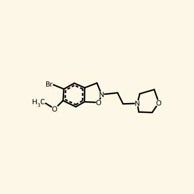 COc1cc2c(cc1Br)CN(CCN1CCOCC1)O2